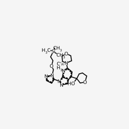 C[C@@H]1COCCN1c1cc(C2(O)CCCOC2)c2cnn(-c3ccnn3COCC[Si](C)(C)C)c2n1